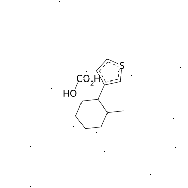 CC1CCCCC1c1ccsc1.O=C(O)O